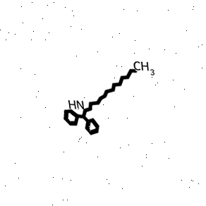 CCCCCCCCCCCCCCC(=N)C(c1ccccc1)c1ccccc1